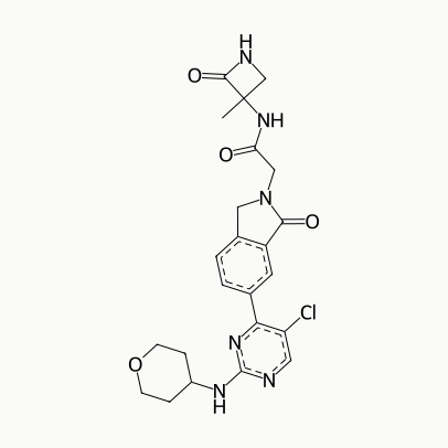 CC1(NC(=O)CN2Cc3ccc(-c4nc(NC5CCOCC5)ncc4Cl)cc3C2=O)CNC1=O